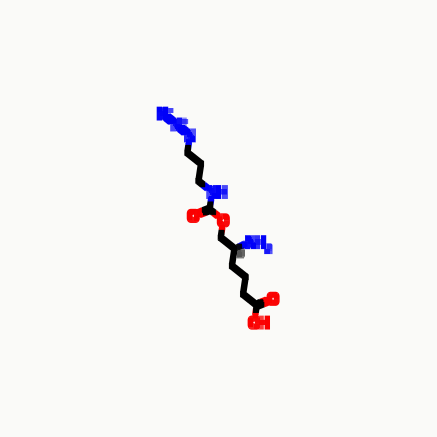 [N-]=[N+]=NCCCNC(=O)OC[C@@H](N)CCCC(=O)O